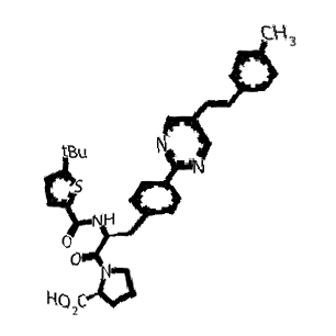 Cc1ccc(/C=C/c2cnc(-c3ccc(C[C@H](NC(=O)c4ccc(C(C)(C)C)s4)C(=O)N4CCC[C@H]4C(=O)O)cc3)nc2)cc1